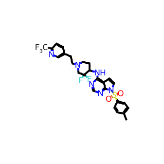 Cc1ccc(S(=O)(=O)n2ccc3c(NC4CCN(CCc5ccc(C(F)(F)F)nc5)CC4(F)F)ncnc32)cc1